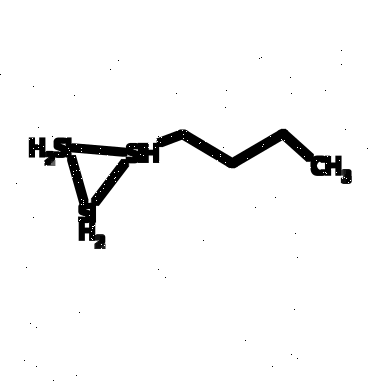 CCCC[SiH]1[SiH2][SiH2]1